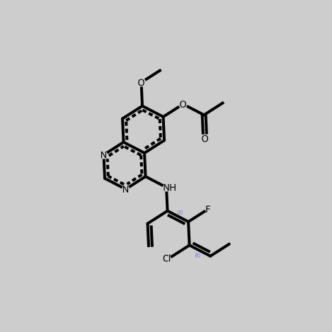 C=C/C(Nc1ncnc2cc(OC)c(OC(C)=O)cc12)=C(F)\C(Cl)=C/C